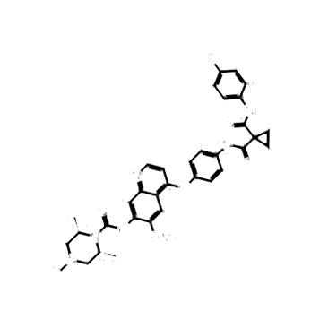 COc1cc2c(Oc3ccc(NC(=O)C4(C(=O)Nc5ccc(F)cc5)CC4)cc3)ccnc2cc1OC(=O)N1[C@H](C)CN(C)C[C@@H]1C